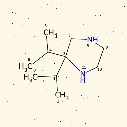 CC(C)C1(C(C)C)CNCCN1